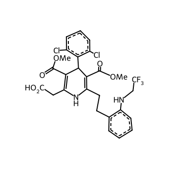 COC(=O)C1=C(CCc2ccccc2NCC(F)(F)F)NC(CC(=O)O)=C(C(=O)OC)C1c1c(Cl)cccc1Cl